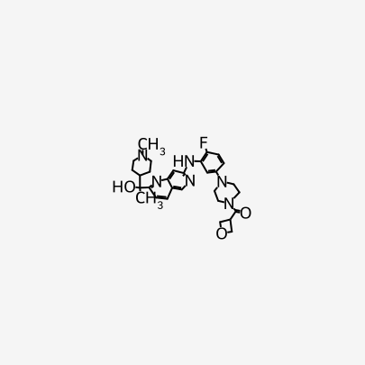 CN1CCC(C(C)(O)c2ccc3cnc(Nc4cc(N5CCN(C(=O)C6COC6)CC5)ccc4F)cc3n2)CC1